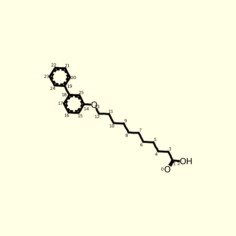 O=C(O)CCCCCCCCCCOc1cccc(-c2ccccc2)c1